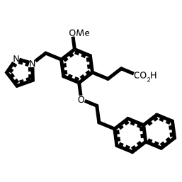 COc1cc(CCC(=O)O)c(OCCc2ccc3ccccc3c2)cc1Cn1cccn1